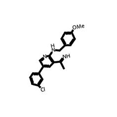 COc1ccc(CNc2ncc(-c3cccc(Cl)c3)cc2C(C)=N)cc1